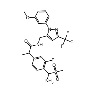 COc1cccc(-n2nc(C(F)(F)F)cc2CNC(=O)C(C)c2ccc(C(N)S(C)(=O)=O)c(F)c2)c1